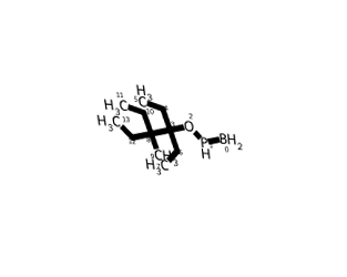 BPOC(CC)(CC)C(C)(CC)CC